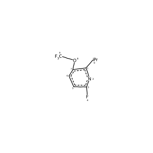 CC(C)c1nc(F)ccc1OC(F)(F)F